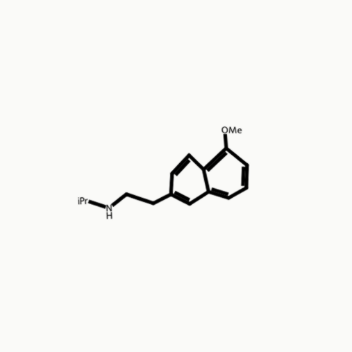 COc1cccc2cc(CCNC(C)C)ccc12